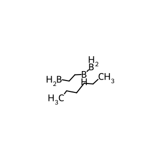 BBCCB.CCCCCC